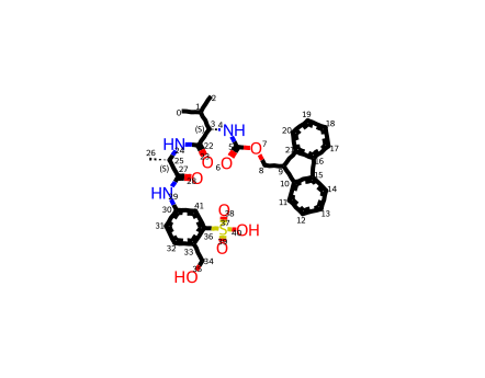 CC(C)[C@H](NC(=O)OCC1c2ccccc2-c2ccccc21)C(=O)N[C@@H](C)C(=O)Nc1ccc(CO)c(S(=O)(=O)O)c1